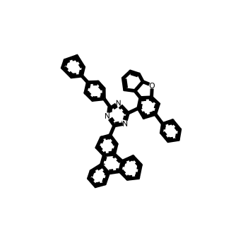 C1=CC2Oc3cc(-c4ccccc4)cc(-c4nc(-c5ccc(-c6ccccc6)cc5)nc(-c5ccc6c7ccccc7c7ccccc7c6c5)n4)c3C2C=C1